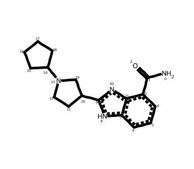 NC(=O)c1cccc2[nH]c(C3CCN(C4CCCC4)C3)nc12